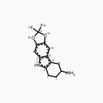 NC1CCc2[nH]c3cc4c(cc3c2C1)OC(F)(F)O4